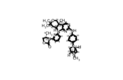 C[C@H]1COC(=O)N1c1cccc(N2c3nc(Nc4ccc(N5C[C@@H]6C[C@H]5CN6C)cc4)ncc3[C@]3(C)COC(C)(C)C[C@H]23)n1